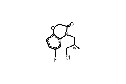 C[C@@H](CCl)CN1C(=O)COc2ccc(F)cc21